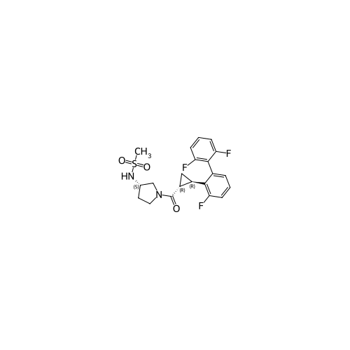 CS(=O)(=O)N[C@H]1CCN(C(=O)[C@@H]2C[C@H]2c2c(F)cccc2-c2c(F)cccc2F)C1